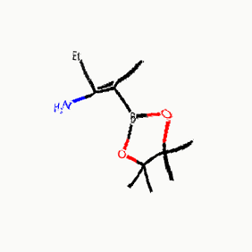 CC/C(N)=C(\C)B1OC(C)(C)C(C)(C)O1